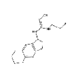 N#C/N=C(\NCCF)NC1CCc2cc3c(cc21)CCCC3